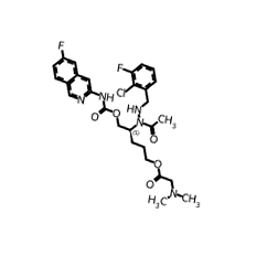 CC(=O)N(NCc1cccc(F)c1Cl)[C@@H](CCCOC(=O)CN(C)C)COC(=O)Nc1cc2cc(F)ccc2cn1